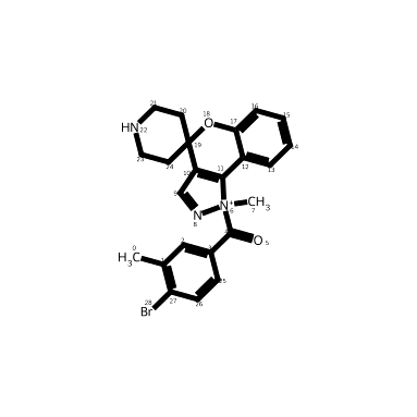 Cc1cc(C(=O)[N+]2(C)N=CC3=C2c2ccccc2OC32CCNCC2)ccc1Br